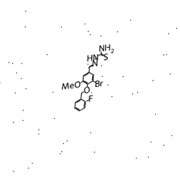 COc1cc(C=NNC(N)=S)cc(Br)c1OCc1ccccc1F